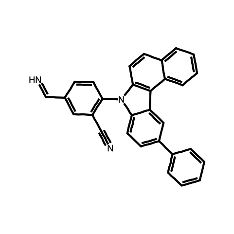 N#Cc1cc(C=N)ccc1-n1c2ccc(-c3ccccc3)cc2c2c3ccccc3ccc21